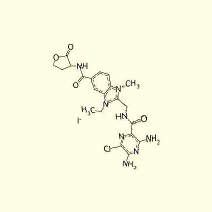 CCn1c(CNC(=O)c2nc(Cl)c(N)nc2N)[n+](C)c2ccc(C(=O)NC3CCOC3=O)cc21.[I-]